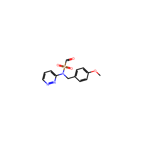 COc1ccc(CN(c2cccnn2)S(=O)(=O)C=O)cc1